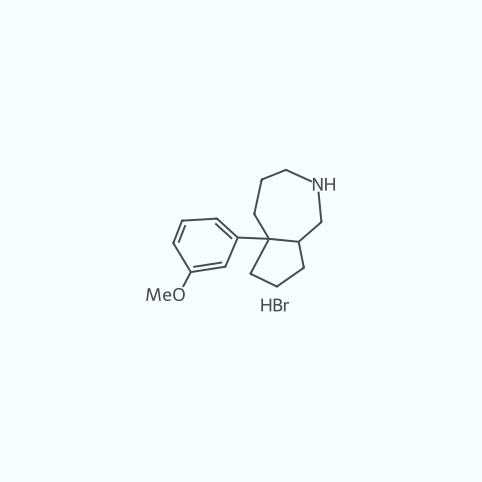 Br.COc1cccc(C23CCCNCC2CCC3)c1